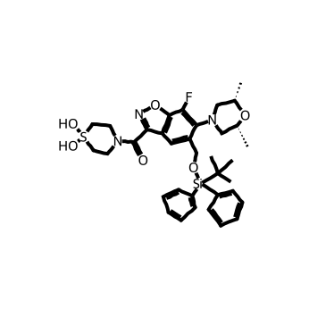 C[C@@H]1CN(c2c(CO[Si](c3ccccc3)(c3ccccc3)C(C)(C)C)cc3c(C(=O)N4CCS(O)(O)CC4)noc3c2F)C[C@H](C)O1